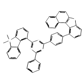 C[Si]1(C)c2ccccc2-c2c(-c3nc(-c4ccccc4)nc(-c4ccc(-c5cccc6oc7ccc8ccccc8c7c56)cc4)n3)cccc21